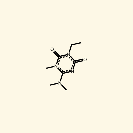 CCn1c(=O)nc(N(C)C)n(C)c1=O